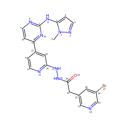 Cn1nccc1Nc1nccc(-c2ccnc(NNC(=O)Cc3cncc(Br)c3)c2)n1